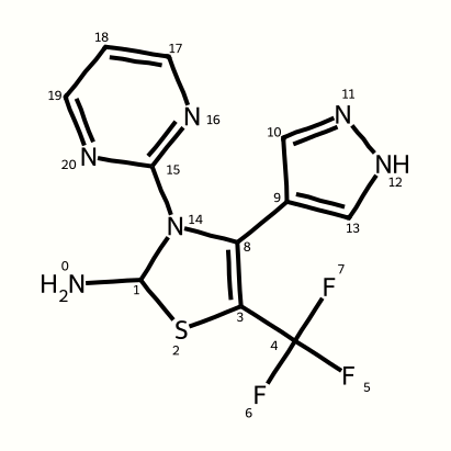 NC1SC(C(F)(F)F)=C(c2cn[nH]c2)N1c1ncccn1